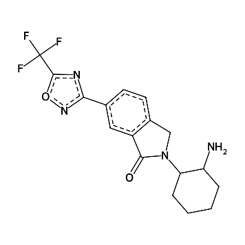 NC1CCCCC1N1Cc2ccc(-c3noc(C(F)(F)F)n3)cc2C1=O